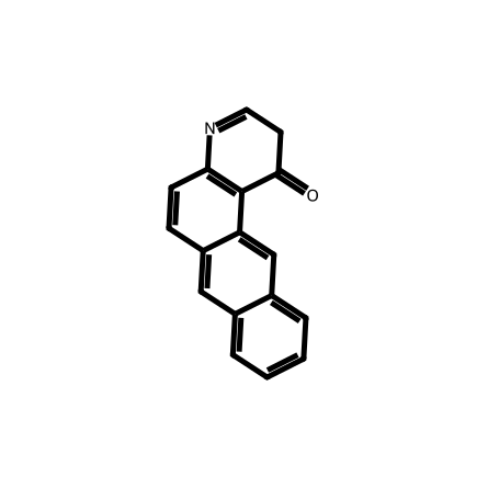 O=C1CC=Nc2ccc3cc4ccccc4cc3c21